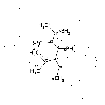 BC(C)C(C)C(P)C(CC)C(=C)C